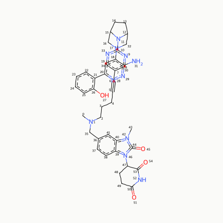 CN(CCCC#Cc1cnc(N2C3CCC2CN(c2cc(-c4ccccc4O)nnc2N)C3)nc1)Cc1ccc2c(c1)n(C)c(=O)n2C1CCC(=O)NC1=O